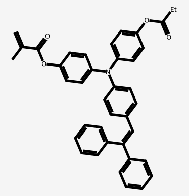 C=C(C)C(=O)Oc1ccc(N(c2ccc(C=C(c3ccccc3)c3ccccc3)cc2)c2ccc(OC(=O)CC)cc2)cc1